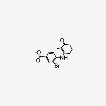 COC(=O)c1ccc(NC2=C(C)C(=O)CCC2)c(Br)c1